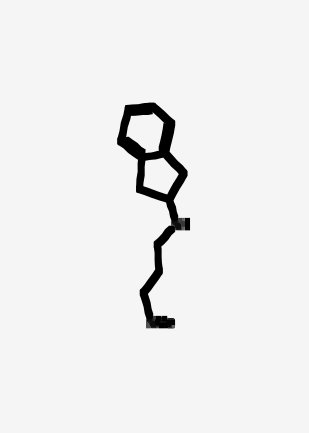 CNCCCNC1Cc2ccccc2C1